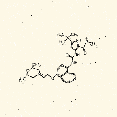 CNC(=O)c1[nH]c(C(C)(C)C)cc1NC(=O)Nc1ccc(OCCN2C[C@H](C)O[C@@H](C)C2)c2ccccc12